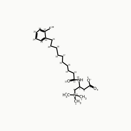 C[N+](C)(C)CC(CC(=O)[O-])NC(=O)CCCCCCCCCc1ccccc1F